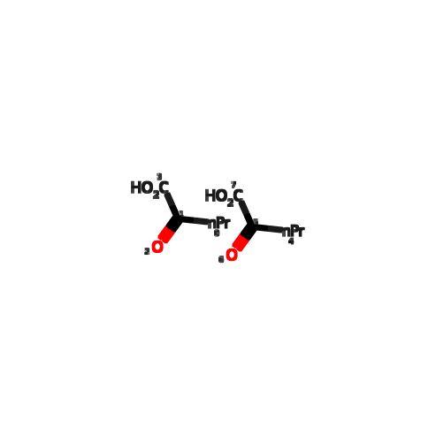 CCCC(=O)C(=O)O.CCCC(=O)C(=O)O